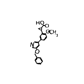 COc1ccc(-c2cncc(OCc3ccccc3)c2)cc1C1CC1C(=O)O